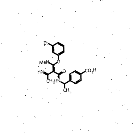 CCc1cccc(O/C(NC)=C(/C(C)=N)C(=O)NC(C)c2ccc(C(=O)O)cc2)c1